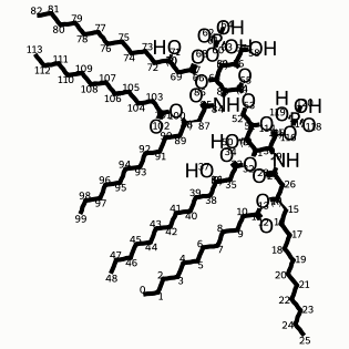 CCCCCCCCCCCC(=O)O[C@H](CCCCCCCCCCC)CC(=O)NC1C(OC(=O)C[C@H](O)CCCCCCCCCCC)[C@H](O)C(CO[C@@H]2OC(CO)[C@@H](OP(=O)(O)O)C(OC(=O)C[C@H](O)CCCCCCCCCCC)C2NC(=O)C[C@@H](CCCCCCCCCCC)OC(=O)CCCCCCCCCCC)O[C@@H]1OP(=O)(O)O